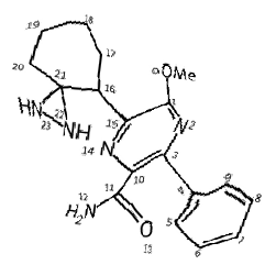 COc1nc(-c2ccccc2)c(C(N)=O)nc1C1CCCCC12NN2